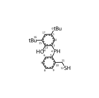 CC(C)(C)c1cc(Pc2ccccc2CS)c(O)c(C(C)(C)C)c1